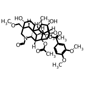 COC[C@]12CN(C=O)C3[C@@H]4[C@H](OC)[C@H]1[C@@]3([C@@H](OC)C[C@H]2O)[C@@H]1C[C@]2(O)[C@@H](OC)C[C@@]4(OC(C)=O)[C@H]1[C@H]2OC(=O)c1ccc(OC)c(OC)c1